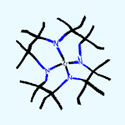 CC(C)(C)[N](C(C)(C)C)[Zr]([N](C(C)(C)C)C(C)(C)C)([N](C(C)(C)C)C(C)(C)C)[N](C(C)(C)C)C(C)(C)C